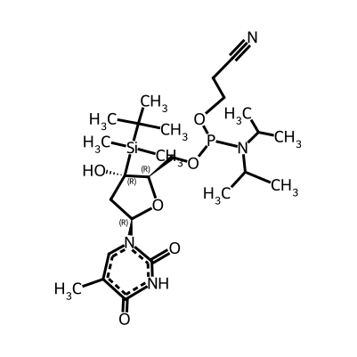 Cc1cn([C@H]2C[C@@](O)([Si](C)(C)C(C)(C)C)[C@@H](COP(OCCC#N)N(C(C)C)C(C)C)O2)c(=O)[nH]c1=O